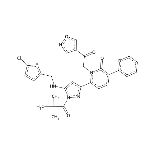 CC(C)(C)C(=O)n1nc(-c2ccc(-c3ccccn3)c(=O)n2CC(=O)c2cnoc2)cc1NCc1ccc(Cl)s1